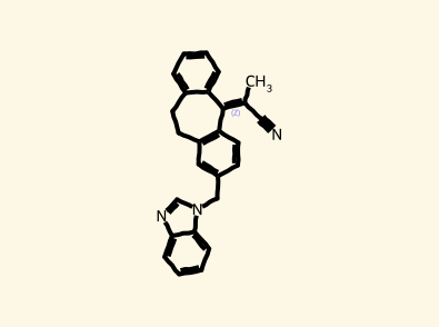 C/C(C#N)=C1\c2ccccc2CCc2cc(Cn3cnc4ccccc43)ccc21